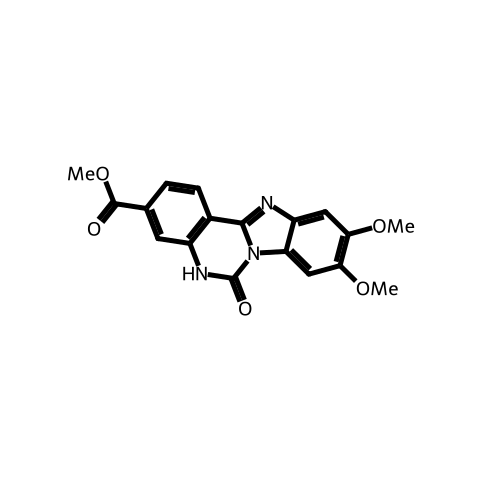 COC(=O)c1ccc2c(c1)[nH]c(=O)n1c3cc(OC)c(OC)cc3nc21